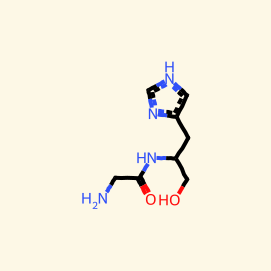 NCC(=O)NC(CO)Cc1c[nH]cn1